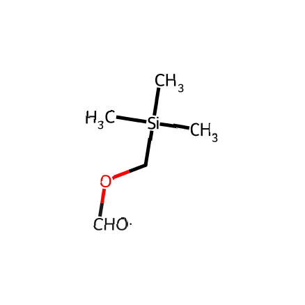 C[Si](C)(C)CO[C]=O